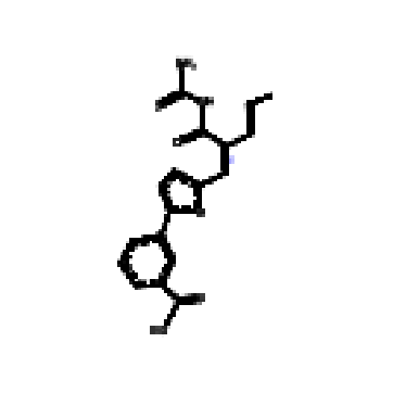 CC=C/C(=C/c1ccc(-c2cccc(C(=O)O)c2)o1)C(=O)NC(N)=S